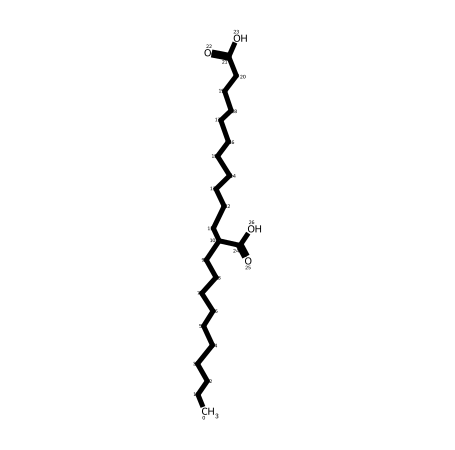 CCCCCCCCCCC(CCCCCCCCCCC(=O)O)C(=O)O